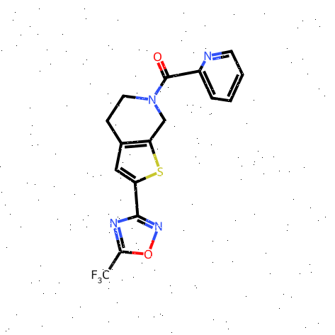 O=C(c1ccccn1)N1CCc2cc(-c3noc(C(F)(F)F)n3)sc2C1